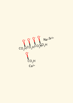 O=C([O-])O.O=C([O-])O.O=C([O-])O.O=C([O-])O.O=C([O-])O.[Ca+2].[Na+].[Sr+2]